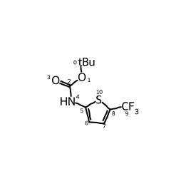 CC(C)(C)OC(=O)Nc1ccc(C(F)(F)F)s1